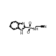 N#CCNS(=O)(=O)c1nc2ccccc2[nH]1